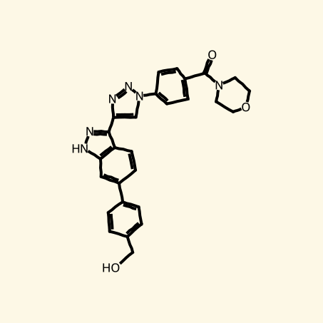 O=C(c1ccc(-n2cc(-c3n[nH]c4cc(-c5ccc(CO)cc5)ccc34)nn2)cc1)N1CCOCC1